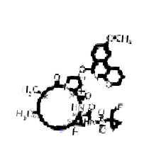 COc1ccc2c(O[C@@H]3C[C@H]4C(=O)N[C@]5(C(=O)NS(=O)(=O)C6(CF)CC6)C[C@H]5/C=C\CC[C@@H](C)C[C@@H](C)CC(=O)N4C3)nc3c(c2c1)CCCO3